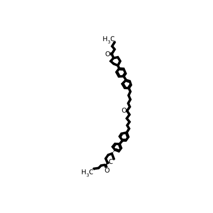 CCCCC(=O)C1CCC(c2ccc(-c3ccc(CCCCCC(=O)CCCCCc4ccc(-c5ccc([C@H]6CC[C@H](C(=O)CCCC)CC6)cc5)cc4)cc3)cc2)CC1